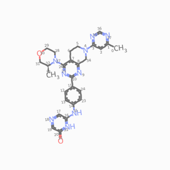 Cc1cc(N2CCc3c(nc(-c4ccc(Nc5cncc(=O)[nH]5)cc4)nc3N3CCOC[C@@H]3C)C2)ncn1